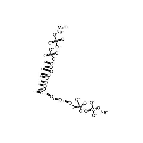 [C]=O.[C]=O.[C]=O.[C]=O.[C]=O.[C]=O.[C]=O.[C]=O.[C]=O.[C]=O.[C]=O.[C]=O.[Mo+6].[Na+].[Na+].[O]=[W](=[O])([O-])[O-].[O]=[W](=[O])([O-])[O-].[O]=[W](=[O])([O-])[O-].[O]=[W](=[O])([O-])[O-]